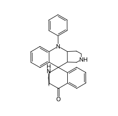 O=C1c2ccccc2C2(c3ccccc3N(c3ccccc3)C3CCNCC32)C2NCCCC12